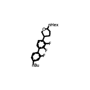 CCCCCCC1CCC(c2ccc(-c3ccc(CCCC)cc3F)c(F)c2F)CO1